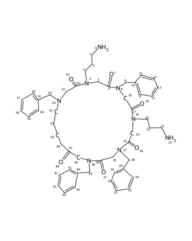 NCCCN1CC(=O)N(Cc2ccccc2)CC(=O)N(CCCN)CC(=O)N(Cc2ccccc2)CC(=O)N(Cc2ccccc2)CC(=O)CCCCN(Cc2ccccc2)CC1=O